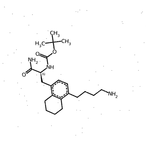 CC(C)(C)OC(=O)N[C@@H](Cc1ccc(CCCCN)c2c1CCCC2)C(N)=O